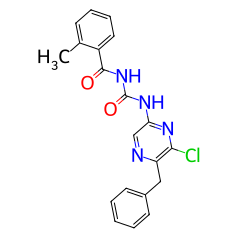 Cc1ccccc1C(=O)NC(=O)Nc1cnc(Cc2ccccc2)c(Cl)n1